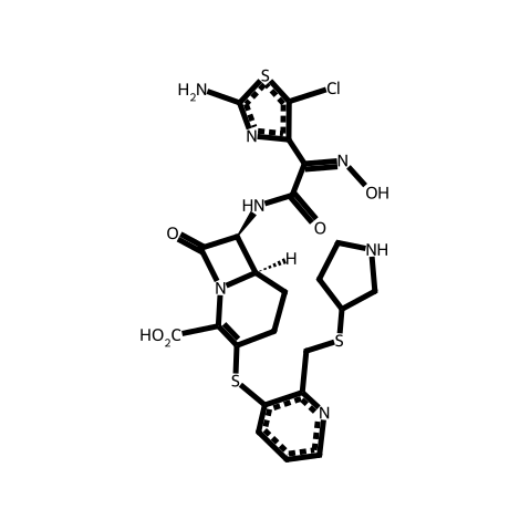 Nc1nc(/C(=N/O)C(=O)N[C@@H]2C(=O)N3C(C(=O)O)=C(Sc4cccnc4CSC4CCNC4)CC[C@H]23)c(Cl)s1